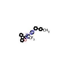 Cc1ccc(-c2cccc(N3CCN(CCCCC4(C(=O)NCC(F)(F)F)c5ccccc5-c5ccccc54)CC3)c2)cc1